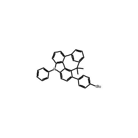 CC(C)(C)c1ccc(-c2ccc3c4c2C(C)(C)c2cccc(c2)-c2cccc(c24)n3-c2ccccc2)cc1